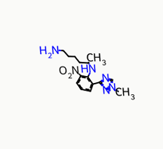 CC(CCCCN)Nc1c(-c2ncn(C)n2)cccc1[N+](=O)[O-]